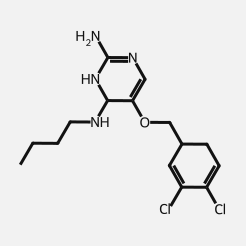 CCCCNC1NC(N)=NC=C1OCC1C=C(Cl)C(Cl)=CC1